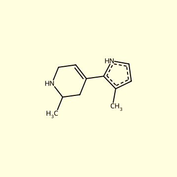 Cc1cc[nH]c1C1=CCNC(C)C1